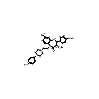 COc1ccc(C2Sc3cc(Cl)ccc3N(CCN3CCN(c4ccc(F)cc4)CC3)C(=O)C2OC(C)=O)cc1